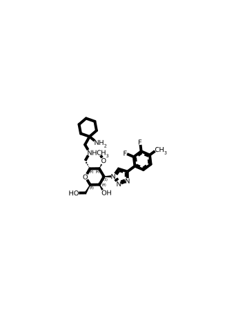 CO[C@@H]1[C@@H](n2cc(-c3ccc(C)c(F)c3F)nn2)[C@@H](O)[C@@H](CO)O[C@@H]1CNCC1(N)CCCCC1